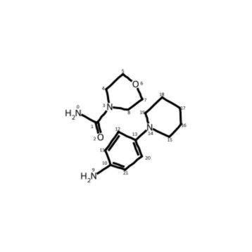 NC(=O)N1CCOCC1.Nc1ccc(N2CCCCC2)cc1